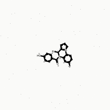 CCC1c2cccn2-c2ccc(F)cc2N1C(=O)c1ccc(O)cc1